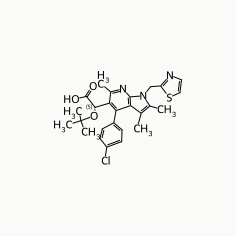 Cc1nc2c(c(C)c(C)n2Cc2nccs2)c(-c2ccc(Cl)cc2)c1[C@H](OC(C)(C)C)C(=O)O